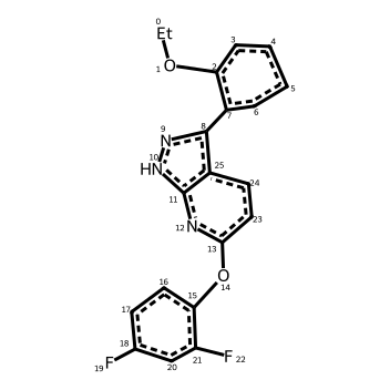 CCOc1ccccc1-c1n[nH]c2nc(Oc3ccc(F)cc3F)ccc12